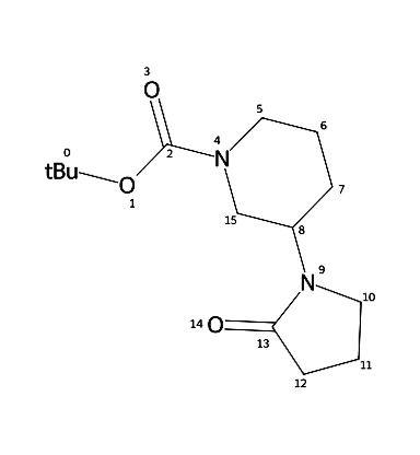 CC(C)(C)OC(=O)N1CCCC(N2CCCC2=O)C1